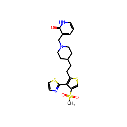 CS(=O)(=O)c1csc(CCC2CCN(Cc3ccc[nH]c3=O)CC2)c1-c1nccs1